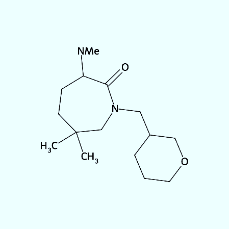 CNC1CCC(C)(C)CN(CC2CCCOC2)C1=O